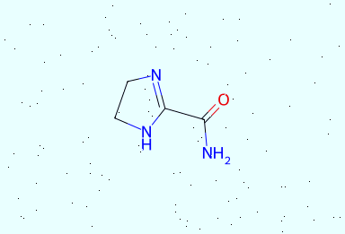 NC(=O)C1=NCCN1